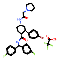 O=C(CN1CCCC1)N[C@@H]1CC[C@@H](C(=O)NC(c2ccc(F)cc2)c2ccc(F)cc2)[C@H](c2ccc(Br)cc2)C1.O=C(O)C(F)(F)F